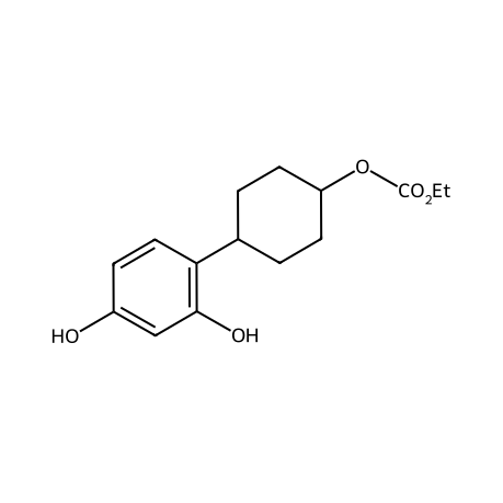 CCOC(=O)OC1CCC(c2ccc(O)cc2O)CC1